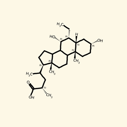 CC[C@H]1[C@@H](O)C2C3CC[C@H](C(C)C[C@H](C)C(=O)O)[C@@]3(C)CCC2[C@@]2(C)CC[C@@H](O)C[C@@H]12